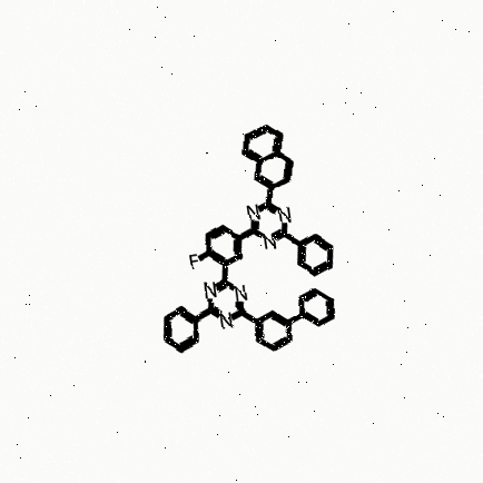 Fc1ccc(-c2nc(-c3ccccc3)nc(-c3ccc4ccccc4c3)n2)cc1-c1nc(-c2ccccc2)nc(-c2cccc(-c3ccccc3)c2)n1